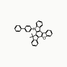 CC1(C)c2ccccc2-c2c1c1c(c3ccccc3n1-c1ccc(-c3ccccc3)cc1)c1c2oc2ccccc21